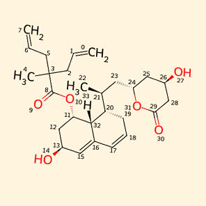 C=CCC(C)(CC=C)C(=O)O[C@H]1C[C@H](O)C=C2C=CC[C@@H]([C@@H](C)C[C@@H]3C[C@@H](O)CC(=O)O3)[C@H]21